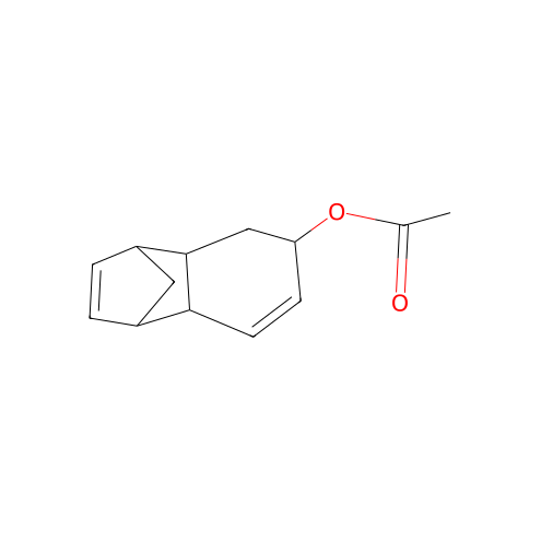 CC(=O)OC1C=CC2C3C=CC(C3)C2C1